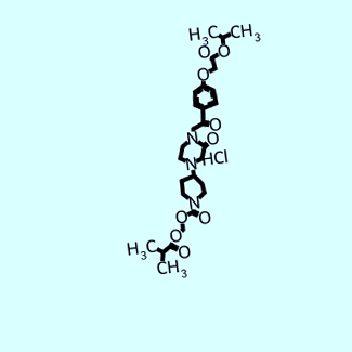 CC(C)OC(=O)COc1ccc(C(=O)CN2CCN(C3CCN(C(=O)OCOC(=O)C(C)C)CC3)CC2=O)cc1.Cl